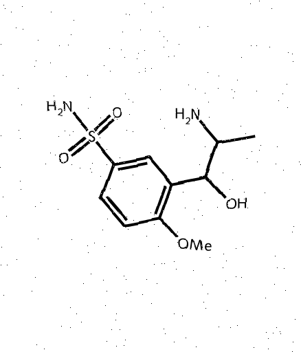 COc1ccc(S(N)(=O)=O)cc1C(O)C(C)N